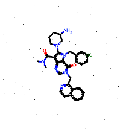 CN(C)C(=O)c1c(N2CCCC(N)C2)n(Cc2ccccc2)c2c(=O)n(Cc3nccc4ccccc34)cnc12.Cl